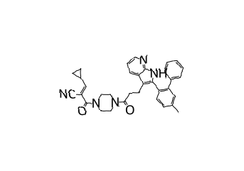 Cc1ccc(-c2[nH]c3ncccc3c2CCC(=O)N2CCN(C(=O)C(C#N)=CC3CC3)CC2)c(-c2ccccc2)c1